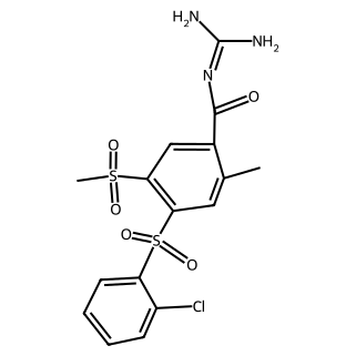 Cc1cc(S(=O)(=O)c2ccccc2Cl)c(S(C)(=O)=O)cc1C(=O)N=C(N)N